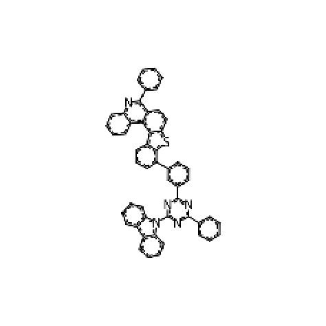 c1ccc(-c2nc(-c3cccc(-c4cccc5c4sc4ccc6c(-c7ccccc7)nc7ccccc7c6c45)c3)nc(-n3c4ccccc4c4ccccc43)n2)cc1